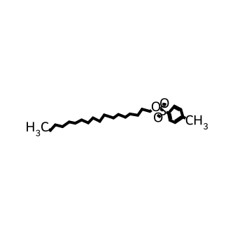 CCCCCCCCCCCCCCCCCCOS(=O)(=O)c1ccc(C)cc1